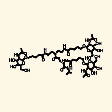 CC(=O)NC1C(OCCCCC(=O)NCCN(CCNC(=O)CCCCOC2OC(CO)C(O)C(O)C2NC(C)=O)C(=O)CC[C@H](NC(=O)CCCCOC2OC(CO)C(O)C(O)C2NC(C)=O)C(=O)NC(C)C)OC(CO)C(O)C1O